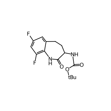 CC(C)(C)OC(=O)NC1CCc2cc(F)cc(F)c2NC1=O